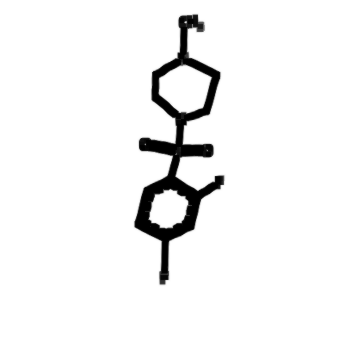 CN1CCN(S(=O)(=O)c2ccc(F)cc2F)CC1